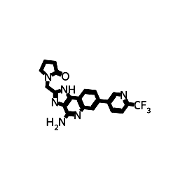 Nc1nc2cc(-c3ccc(C(F)(F)F)nc3)ccc2c2[nH]c(CN3CCCC3=O)nc12